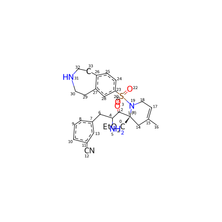 CCOC(=O)[C@]1(C(=O)C(N)Cc2cccc(C#N)c2)CC(C)=CCN1S(=O)(=O)c1ccc2c(c1)CCNCC2